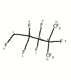 FCC(F)(F)C(F)(F)C(F)(C(F)(F)F)C(F)(F)F